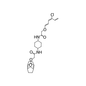 C=C/C(Cl)=C\C=C\OCC(=O)NC1CCC(NC(=O)COC2C3=C4CCC(=C2CC3)C4Cl)CC1